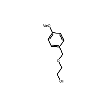 COc1ccc(CO[CH]CO)cc1